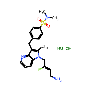 Cc1c(Cc2ccc(S(=O)(=O)N(C)C)cc2)c2ncccc2n1CC(F)=CCN.Cl.Cl